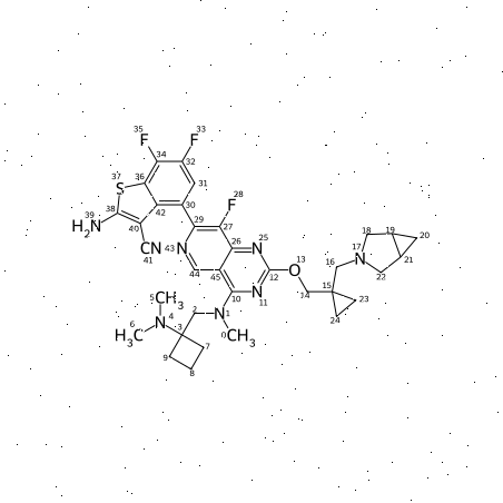 CN(CC1(N(C)C)CCC1)c1nc(OCC2(CN3CC4CC4C3)CC2)nc2c(F)c(-c3cc(F)c(F)c4sc(N)c(C#N)c34)ncc12